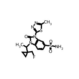 Cc1nnc(-n2c(=O)n(C(C)C3(CF)CC3)c3ccc(S(N)(=O)=O)cc32)s1